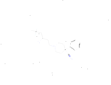 CC(F)(F)CC(N)CCN1CCC(C#N)(c2ccccc2)CC1